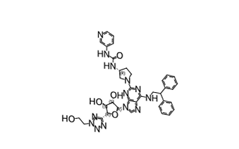 O=C(Nc1cccnc1)N[C@@H]1CCN(c2nc(NCC(c3ccccc3)c3ccccc3)c3ncn([C@@H]4O[C@H](c5nnn(CCO)n5)[C@@H](O)[C@@H]4O)c3n2)C1